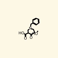 CO.O=C(O)C1CN(Cc2ccccc2)CCC1=O